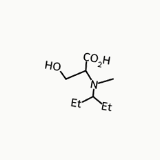 CCC(CC)N(C)C(CO)C(=O)O